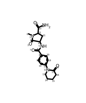 CN1C(=O)C(NC(=O)c2ccc(N3CCCCC3=O)cc2)[CH]C1C(N)=O